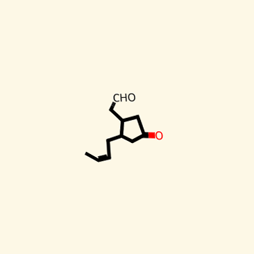 C/C=C\CC1CC(=O)CC1CC=O